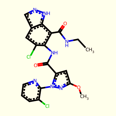 CCNC(=O)c1c(NC(=O)c2cc(OC)nn2-c2ncccc2Cl)c(Cl)cc2cn[nH]c12